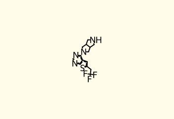 FC(F)(F)Cc1cc2c(N3CC4CNCC4C3)ncnc2s1